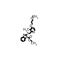 CCOC(=O)n1c(SCc2nccc(OCCCOC)c2C)nc2ccccc21